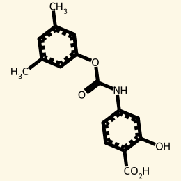 Cc1cc(C)cc(OC(=O)Nc2ccc(C(=O)O)c(O)c2)c1